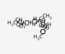 Cc1ccc(S(=O)(=O)NC(CC(C)C)C(=O)Nc2ccc(N3CCN(C(=O)OC(C)(C)C)CC3)nc2)cc1